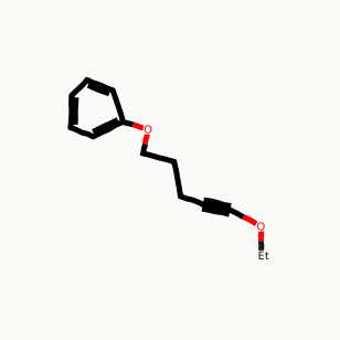 CCOC#CCCCOc1ccccc1